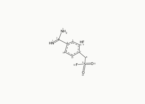 F.N=C(N)c1ccc(CS(=O)(=O)F)cc1